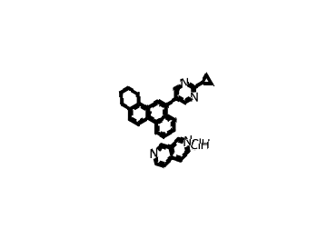 Cl.c1cc2ccncc2cn1.c1ccc2c(c1)c(-c1cnc(C3CC3)nc1)cc1c3c(ccc12)CCCC3